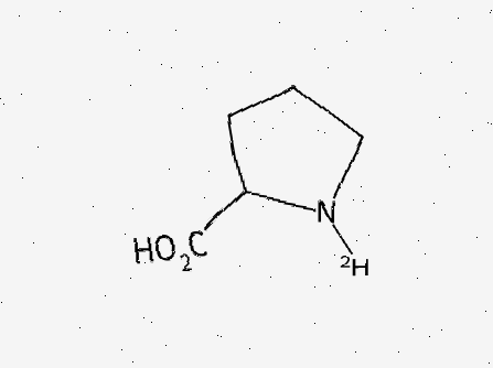 [2H]N1CCCC1C(=O)O